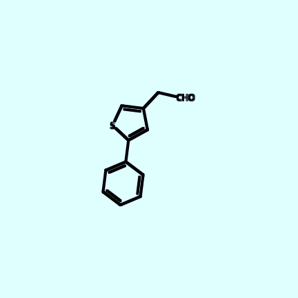 O=CCc1csc(-c2ccccc2)c1